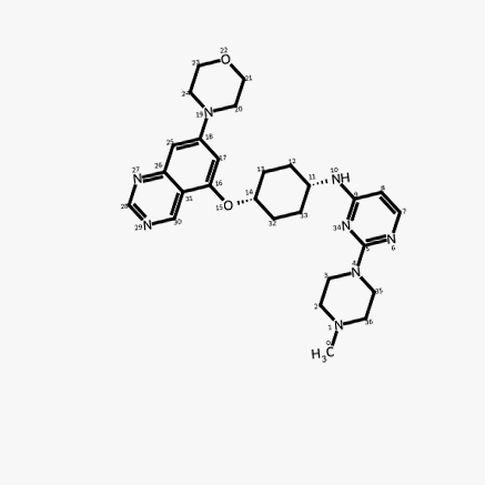 CN1CCN(c2nccc(N[C@H]3CC[C@@H](Oc4cc(N5CCOCC5)cc5ncncc45)CC3)n2)CC1